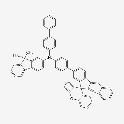 CC1(C)c2ccccc2-c2ccc(N(c3ccc(-c4ccccc4)cc3)c3ccc(-c4ccc5c(c4)C4(c6ccccc6Oc6ccccc64)c4cc6ccccc6cc4-5)cc3)cc21